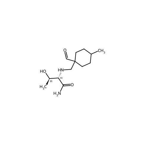 CC1CCC(C=O)(CN[C@H](C(N)=O)[C@@H](C)O)CC1